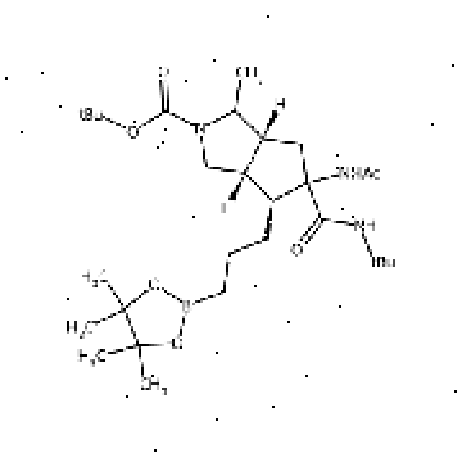 CC(=O)NC1(C(=O)NC(C)(C)C)C[C@H]2C(C)N(C(=O)OC(C)(C)C)C[C@H]2[C@@H]1CCCB1OC(C)(C)C(C)(C)O1